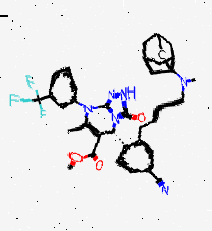 COC(=O)C1=C(C)N(c2cccc(C(F)(F)F)c2)c2n[nH]c(=O)n2[C@@H]1c1ccc(C#N)cc1CCCCN(C)C12CC3CC(CC1C3)C2